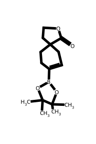 CC1(C)OB(C2=CCC3(CCOC3=O)CC2)OC1(C)C